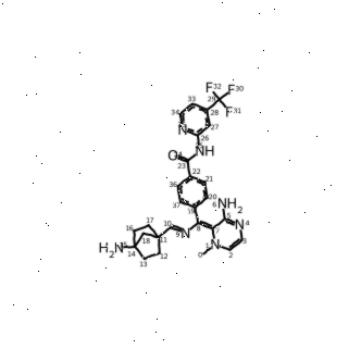 CN1C=CN=C(N)/C1=C(/N=C/C12CCC(N)(CC1)C2)c1ccc(C(=O)Nc2cc(C(F)(F)F)ccn2)cc1